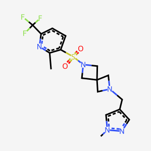 Cc1nc(C(F)(F)F)ccc1S(=O)(=O)N1CC2(CN(Cc3cnn(C)c3)C2)C1